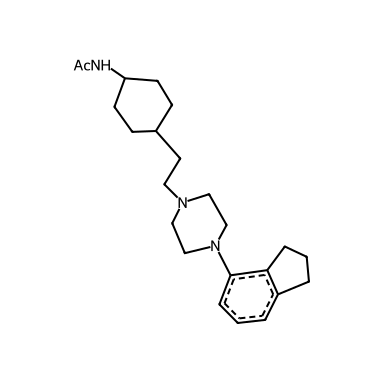 CC(=O)NC1CCC(CCN2CCN(c3cccc4c3CCC4)CC2)CC1